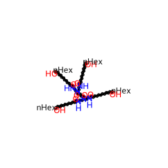 CCCCCCC(O)CC=CCCCCCCCC(=O)NCCN(CCNC(=O)CCCCCCCC=CCC(O)CCCCCC)C(=O)C=CC(=O)N(CCNC(=O)CCCCCCCC=CCC(O)CCCCCC)CCNC(=O)CCCCCCCC=CCC(O)CCCCCC